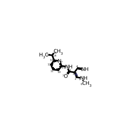 CN/C=C(\C=N)C(=O)Nc1cccc(C(C)C)n1